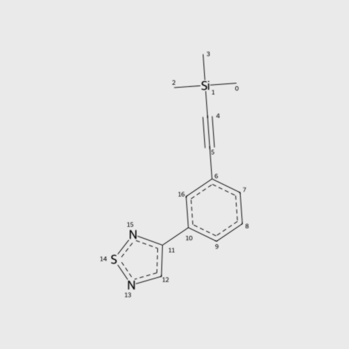 C[Si](C)(C)C#Cc1cccc(-c2cnsn2)c1